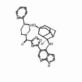 O=C(c1noc(-c2cnc3[nH]ccc3c2N[C@H]2C3CC4CC2C[C@@](O)(C4)C3)n1)N1CCN(c2ccccn2)CC1